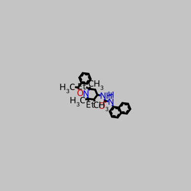 CCC1(C)CC(NC(=O)Nc2cccc3ccccc23)C(C)C(C)(CC)N1OC(C)c1ccccc1